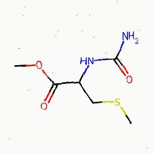 COC(=O)C(CSC)NC(N)=O